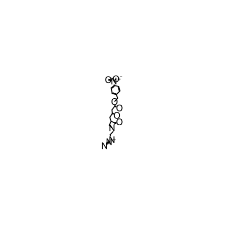 [N-]=[N+]=NCCN1CC(CC(=O)CC(=O)OCc2ccc([N+](=O)[O-])cc2)C1=O